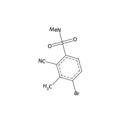 CNS(=O)(=O)c1ccc(Br)c(C)c1C#N